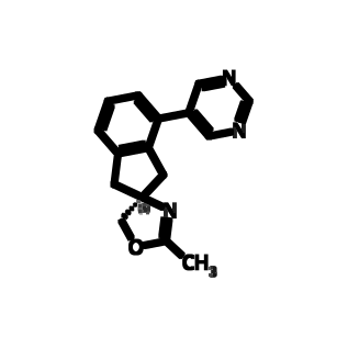 CC1=N[C@@]2(CO1)Cc1cccc(-c3cncnc3)c1C2